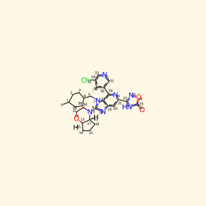 CC1CCC([C@H](C)n2c(N3CCO[C@@H]4CCC[C@H]43)nc3cc(-c4noc(=O)[nH]4)nc(-c4cncc(Cl)c4)c32)CC1